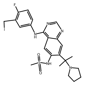 CC(C)(c1cc2ncnc(Nc3ccc(F)c(CI)c3)c2cc1NS(C)(=O)=O)N1CCCC1